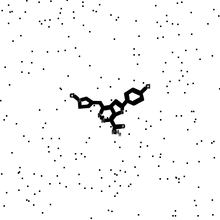 NC(=O)c1nnc(CC2CCN(Cl)C2)c2cc(-c3ccc(Cl)cc3)sc12